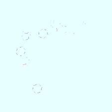 Cc1cccc(OCCCC(=O)N2CCCc3c(-c4cnn(Cc5cccc(NC(=O)N[C@@H](CCC[N+](C)(C)C)C(=O)O)c5)c4)cccc32)c1C